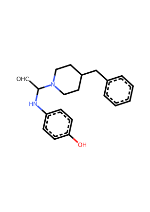 O=CC(Nc1ccc(O)cc1)N1CCC(Cc2ccccc2)CC1